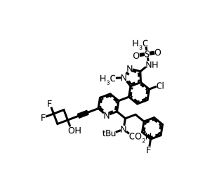 Cn1nc(NS(C)(=O)=O)c2c(Cl)ccc(-c3ccc(C#CC4(O)CC(F)(F)C4)nc3C(Cc3cccc(F)c3)N(C(=O)O)C(C)(C)C)c21